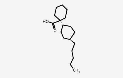 CCCCC[C@H]1CC[C@H](C2(C(=O)O)CCCCC2)CC1